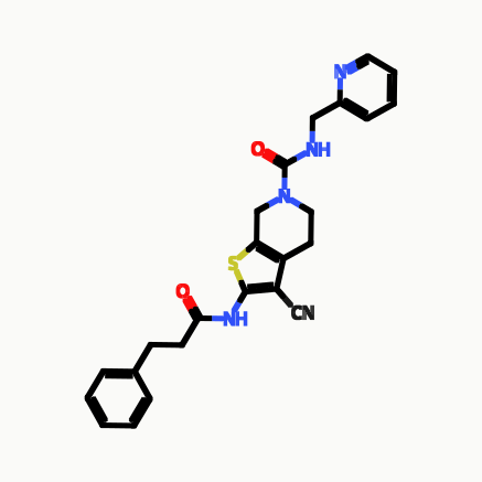 N#Cc1c(NC(=O)CCc2ccccc2)sc2c1CCN(C(=O)NCc1ccccn1)C2